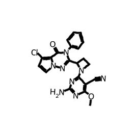 COc1nc(N)nc(N2CCC2c2nn3ccc(Cl)c3c(=O)n2-c2ccccc2)c1C#N